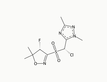 Cc1nc([C@H](Cl)S(=O)(=O)C2=NOC(C)(C)[C@@H]2F)n(C)n1